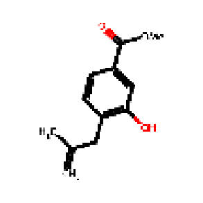 C=C(C)Cc1ccc(C(=O)OC)cc1O